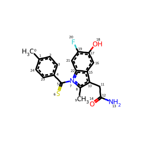 Cc1ccc(C(=S)n2c(C)c(CC(N)=O)c3cc(O)c(F)cc32)cc1